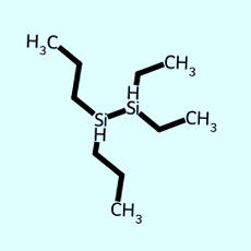 CCC[SiH](CCC)[SiH](CC)CC